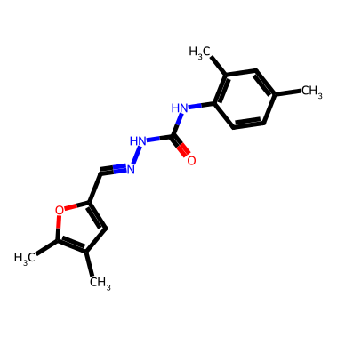 Cc1ccc(NC(=O)NN=Cc2cc(C)c(C)o2)c(C)c1